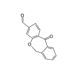 O=Cc1ccc2c(c1)OCc1ccccc1C2=O